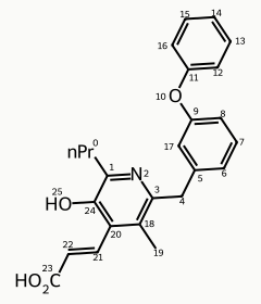 CCCc1nc(Cc2cccc(Oc3ccccc3)c2)c(C)c(/C=C/C(=O)O)c1O